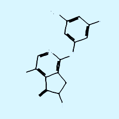 N#Cc1cc(F)cc(Oc2ncc(C(F)(F)F)c3c2CC(F)C3=O)c1